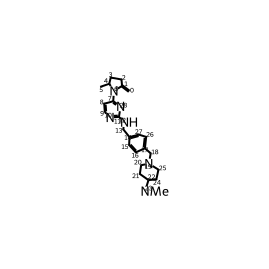 C=C1CCC(C)N1c1ccnc(NCc2ccc(CN3CCC(NC)CC3)cc2)n1